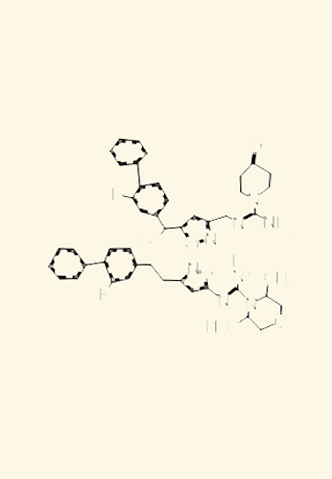 CC(c1ccc(-c2ccccc2)c(F)c1)c1cc(CN=C(N)N2CCC(=O)CC2)no1.CC1COCC(C)N1C(N)=Nc1cc(CCc2ccc(-c3ccccc3)c(F)c2)no1